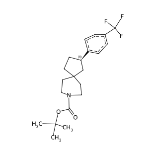 CC(C)(C)OC(=O)N1CCC2(CC[C@@H](c3ccc(C(F)(F)F)cc3)C2)CC1